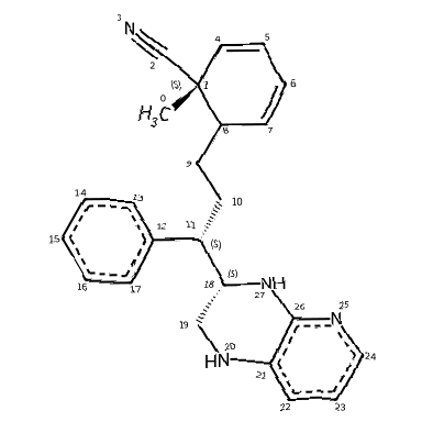 C[C@@]1(C#N)C=CC=CC1CC[C@@H](c1ccccc1)[C@H]1CNc2cccnc2N1